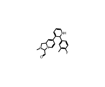 Cc1cc(C2NC=CC=C2C2=CC3CN(C)C(C=O)N3C=C2)ccc1F